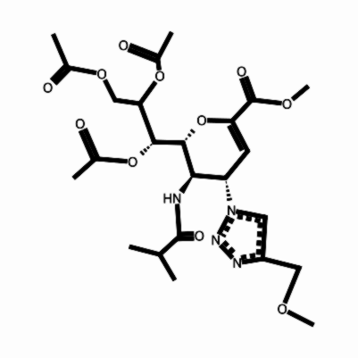 COCc1cn([C@H]2C=C(C(=O)OC)O[C@@H]([C@H](OC(C)=O)C(COC(C)=O)OC(C)=O)[C@@H]2NC(=O)C(C)C)nn1